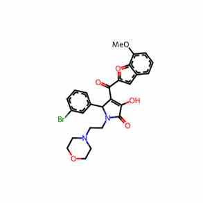 COc1cccc2cc(C(=O)C3=C(O)C(=O)N(CCN4CCOCC4)C3c3cccc(Br)c3)oc12